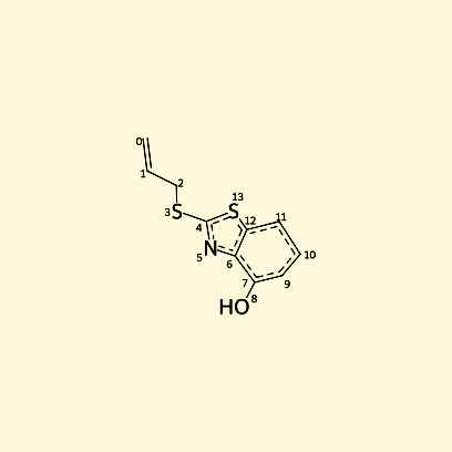 C=CCSc1nc2c(O)cccc2s1